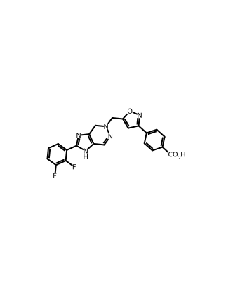 O=C(O)c1ccc(-c2cc(CN3Cc4nc(-c5cccc(F)c5F)[nH]c4C=N3)on2)cc1